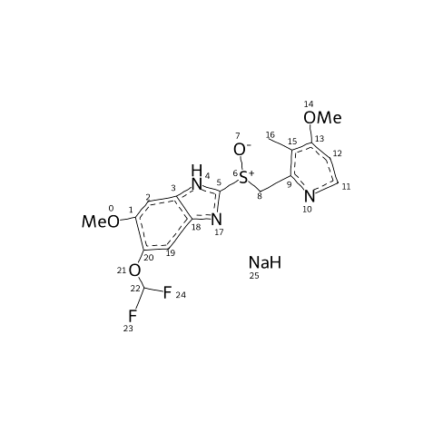 COc1cc2[nH]c([S+]([O-])Cc3nccc(OC)c3C)nc2cc1OC(F)F.[NaH]